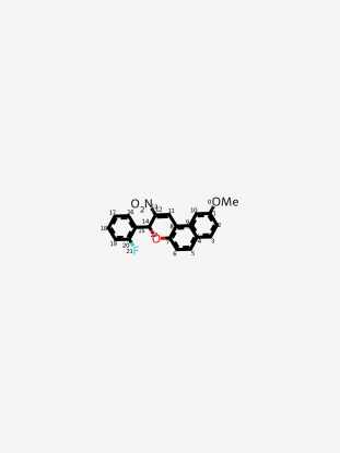 COc1ccc2ccc3c(c2c1)C=C([N+](=O)[O-])C(c1ccccc1F)O3